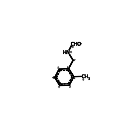 Cc1ccccc1CN[C]=O